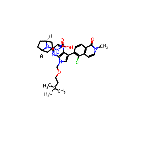 Cn1ccc2c(Cl)c(-c3cn(COCC[Si](C)(C)C)c4nc(N5[C@@H]6CC[C@H]5C[C@@H](NC(=O)O)C6)cnc34)ccc2c1=O